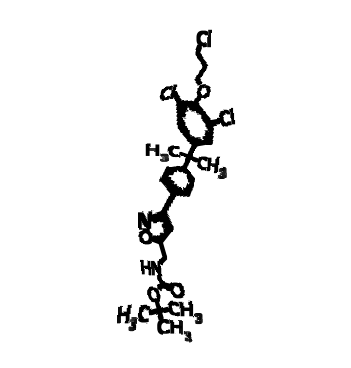 CC(C)(C)OC(=O)NCc1cc(-c2ccc(C(C)(C)c3cc(Cl)c(OCCCCl)c(Cl)c3)cc2)no1